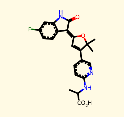 CC(Nc1ccc(C2=CC(=C3C(=O)Nc4cc(F)ccc43)OC2(C)C)cn1)C(=O)O